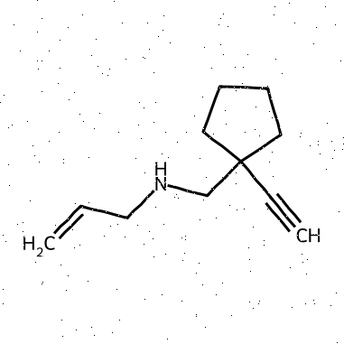 C#CC1(CNCC=C)CCCC1